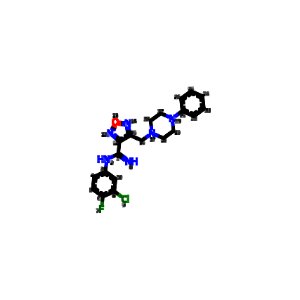 N=C(Nc1ccc(F)c(Cl)c1)c1nonc1CN1CCN(c2ccccc2)CC1